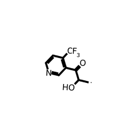 [CH2]C(O)C(=O)c1cnccc1C(F)(F)F